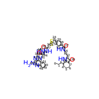 CCCC1CCCCC2C(=O)C(CCCNC(=O)c3ccc(C(C)SSCCC(=O)NNC(C)(C)Cn4c(COCC)nc5c(N)nc6ccccc6c54)cc3)NC12